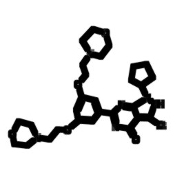 CCc1[nH]n(C2CCCC2)c2nc(-c3cc(OCCN4CCOCC4)cc(OCCN4CCOCC4)c3)nc(=O)c1-2